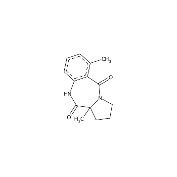 Cc1cccc2c1C(=O)N1CCCC1(C)C(=O)N2